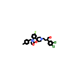 CC[N+]1(Cc2ccc(C)cc2)C(=O)OC2(CCN(CCC(C=O)c3ccc(Cl)c(Cl)c3)CC2)c2cc(F)ccc21